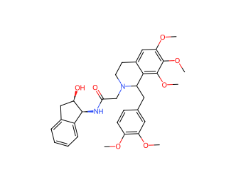 COc1ccc(CC2c3c(cc(OC)c(OC)c3OC)CCN2CC(=O)N[C@H]2c3ccccc3C[C@H]2O)cc1OC